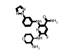 NC(=O)c1cc(F)c(N[C@@H]2CCOCC2N)nc1Nc1cccc(-n2nccn2)c1